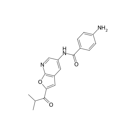 CC(C)C(=O)c1cc2cc(NC(=O)c3ccc(N)cc3)cnc2o1